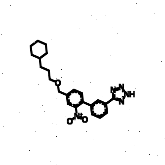 O=[N+]([O-])c1cc(COCCCC2CCCCC2)ccc1-c1cccc(-c2nn[nH]n2)c1